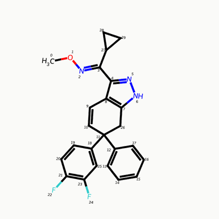 CON=C(c1n[nH]c2c1C=CC(c1ccccc1)(c1ccc(F)c(F)c1)C2)C1CC1